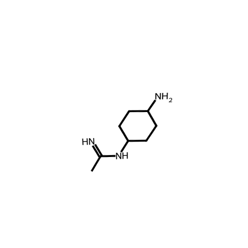 CC(=N)NC1CCC(N)CC1